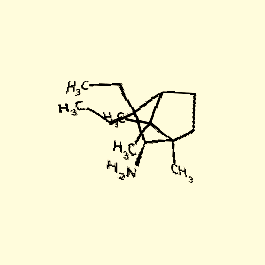 CCC1(CC)C2CCC(C)([C@H]1N)C2(C)C